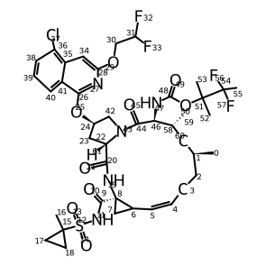 C[C@H]1CC/C=C\C2C[C@@]2(C(=O)NS(=O)(=O)C2(C)CC2)NC(=O)[C@@H]2C[C@@H](Oc3nc(OCC(F)F)cc4c(Cl)cccc34)CN2C(=O)[C@@H](NC(=O)OC(C)(C)C(C)(F)F)[C@H](C)C1